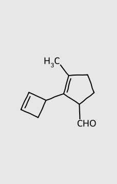 CC1=C(C2C=CC2)C(C=O)CC1